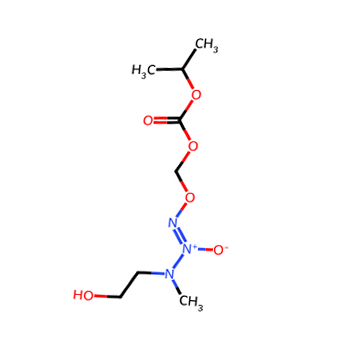 CC(C)OC(=O)OCON=[N+]([O-])N(C)CCO